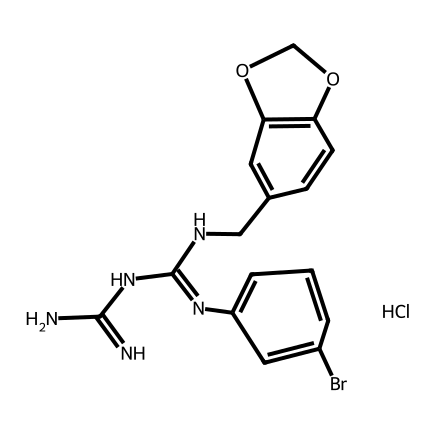 Cl.N=C(N)NC(=Nc1cccc(Br)c1)NCc1ccc2c(c1)OCO2